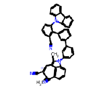 C=C/C(C#N)=C\c1c(C)n(-c2cccc(-c3cccc(-c4c(C#N)cccc4-n4c5ccccc5c5ccccc54)c3)c2)c2cccc(C#N)c12